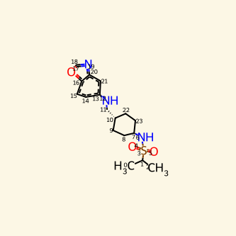 CC(C)S(=O)(=O)N[C@H]1CC[C@H](CNc2ccc3ocnc3c2)CC1